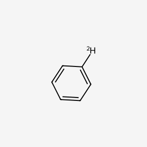 [2H]c1ccccc1